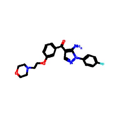 Nc1c(C(=O)c2cccc(OCCN3CCOCC3)c2)cnn1-c1ccc(F)cc1